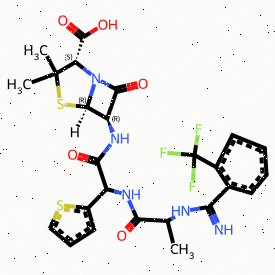 CC(NC(=N)c1ccccc1C(F)(F)F)C(=O)NC(C(=O)N[C@@H]1C(=O)N2[C@@H]1SC(C)(C)[C@@H]2C(=O)O)c1cccs1